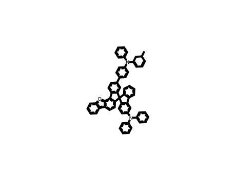 CC1C=CC=C(N(c2ccccc2)c2ccc(-c3ccc4c(c3)C3(c5ccccc5-c5cc(N(c6ccccc6)c6ccccc6)ccc53)c3ccc5c(oc6ccccc65)c3-4)cc2)C1